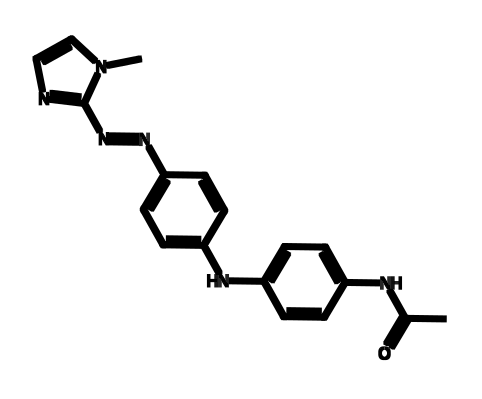 CC(=O)Nc1ccc(Nc2ccc(/N=N/c3nccn3C)cc2)cc1